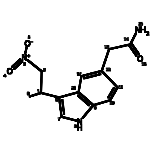 CC(C[N+](=O)[O-])c1c[nH]c2ccc(CC(N)=O)cc12